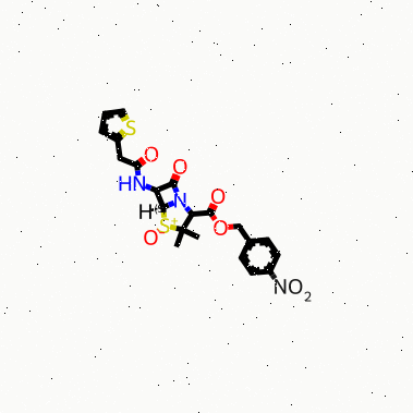 CC1(C)C(C(=O)OCc2ccc([N+](=O)[O-])cc2)N2C(=O)C(NC(=O)Cc3cccs3)[C@@H]2[S+]1[O-]